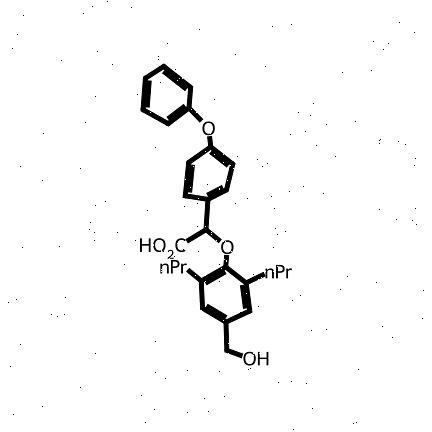 CCCc1cc(CO)cc(CCC)c1OC(C(=O)O)c1ccc(Oc2ccccc2)cc1